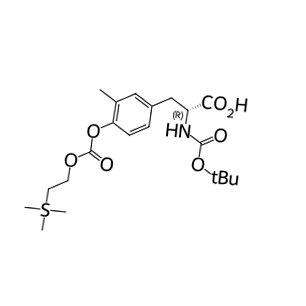 Cc1cc(C[C@@H](NC(=O)OC(C)(C)C)C(=O)O)ccc1OC(=O)OCCS(C)(C)C